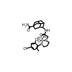 Cc1cc(Cl)cc(Cl)c1N1CCCN(CC(=O)NC2C3CC4CC2CC(C(N)=O)(C4)C3)S1(O)O